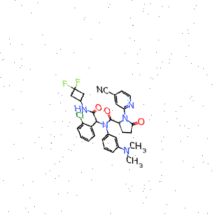 CN(C)c1cccc(N(C(=O)C2CCC(=O)N2c2cc(C#N)ccn2)C(C(=O)NC2CC(F)(F)C2)c2ccccc2Cl)c1